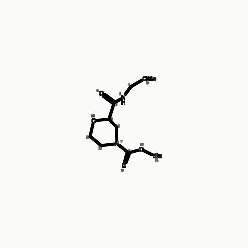 COCNC(=O)C1CN(C(=O)OC(C)(C)C)CCO1